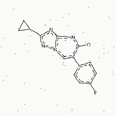 Fc1ccc(-c2cn3nc(C4CC4)nc3nc2Cl)cc1